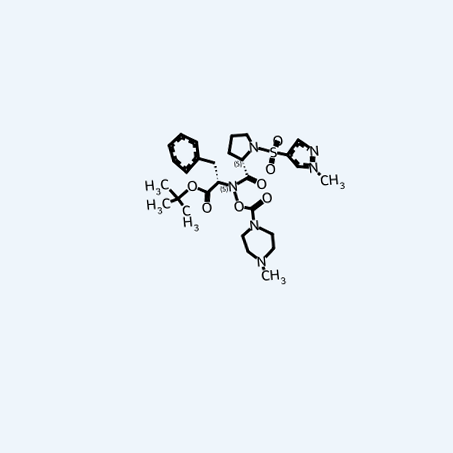 CN1CCN(C(=O)ON(C(=O)[C@@H]2CCCN2S(=O)(=O)c2cnn(C)c2)[C@@H](Cc2ccccc2)C(=O)OC(C)(C)C)CC1